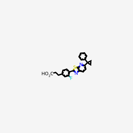 O=C(O)CCc1ccc(-c2nc3ccc(C4(c5ccccc5)CC4)nc3s2)c(F)c1